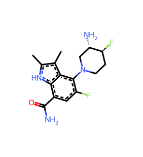 Cc1[nH]c2c(C(N)=O)cc(F)c(N3CC[C@H](F)[C@@H](N)C3)c2c1C